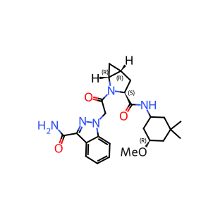 CO[C@H]1CC(NC(=O)[C@@H]2C[C@H]3C[C@H]3N2C(=O)Cn2nc(C(N)=O)c3ccccc32)CC(C)(C)C1